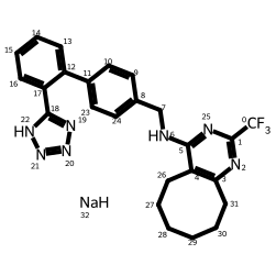 FC(F)(F)c1nc2c(c(NCc3ccc(-c4ccccc4-c4nnn[nH]4)cc3)n1)CCCCCC2.[NaH]